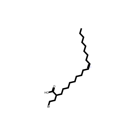 CCCCCCCC/C=C\CCCCCCCCC(CCBr)C(=O)O